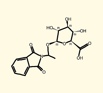 CC(O[C@@H]1O[C@H](C(=O)O)[C@@H](O)[C@H](O)[C@H]1O)N1C(=O)c2ccccc2C1=O